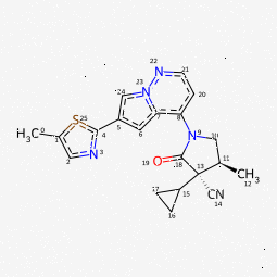 Cc1cnc(-c2cc3c(N4C[C@@H](C)[C@@](C#N)(C5CC5)C4=O)ccnn3c2)s1